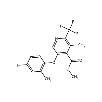 COC(=O)c1c(Oc2ccc(F)cc2C)cnc(C(F)(F)F)c1C